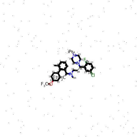 CCOC(=O)C(c1cccc(C)c1C1CCC(OC(F)(F)F)CC1)N(C)CC[C@@H](c1cc(Cl)ccc1F)N1CCN(C(C)C)CC1